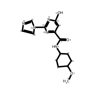 COC1CCC(NC(=O)c2cc(O)nc(-n3ccnc3)n2)CC1